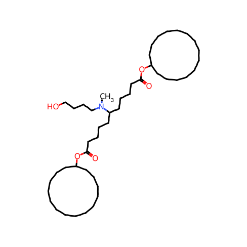 CN(CCCCO)C(CCCCC(=O)OC1CCCCCCCCCCCCCC1)CCCCC(=O)OC1CCCCCCCCCCCCCC1